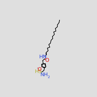 CCCCCCCCCCCCCCCCC=CNC(=O)Cc1ccc(CC(N)S)c(OC)c1